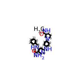 CNC(=O)C1CCCN(c2ccc(Nc3cc(NCc4ccccc4)c(C(N)=O)cn3)cc2)C1